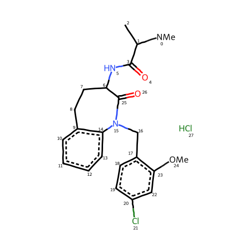 CNC(C)C(=O)NC1CCc2ccccc2N(Cc2ccc(Cl)cc2OC)C1=O.Cl